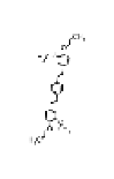 C=CCOc1ccc(C=Cc2ccc(C=Cc3ccc(OCC=C)c(OC)c3)cc2)cc1OC